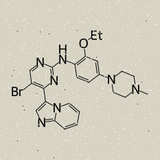 CCOc1cc(N2CCN(C)CC2)ccc1Nc1ncc(Br)c(-c2cnc3ccccn23)n1